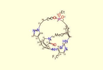 CCOP1(=O)Cc2ccc(c(OC)c2)Nc2ncc(C(F)(F)F)c(n2)Nc2ccc(c3c2C(=O)N(C)C3)-c2cnn(c2)CCCCO1